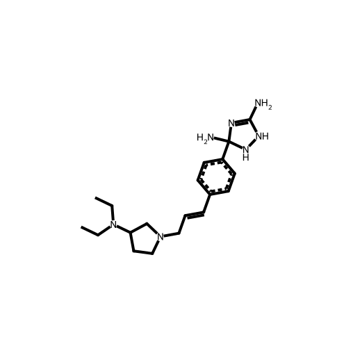 CCN(CC)C1CCN(CC=Cc2ccc(C3(N)N=C(N)NN3)cc2)C1